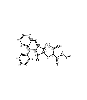 CCOC(=O)C(CN1C(=O)c2cc3ccccc3c(-c3ccccc3)c2C1=O)C(C)=O